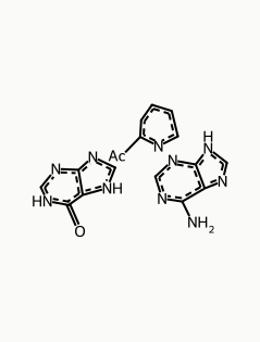 CC(=O)c1ccccn1.Nc1ncnc2[nH]cnc12.O=c1[nH]cnc2nc[nH]c12